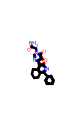 NC(=O)Cn1cnc2c(oc3nc(-c4ccccc4)c4c(c32)CCCC4)c1=O